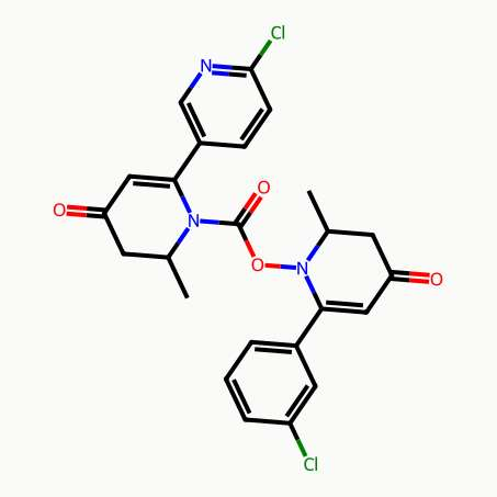 CC1CC(=O)C=C(c2cccc(Cl)c2)N1OC(=O)N1C(c2ccc(Cl)nc2)=CC(=O)CC1C